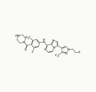 Cc1cc(Nc2nccn3c(-c4cn(CCF)nc4C(F)(F)F)cnc23)cc(F)c1C(=O)N1CCNCC1